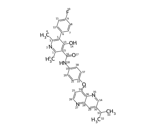 Cc1nc(C)c(-c2ccc(F)cc2)c(O)c1C(=O)Nc1ccc(Oc2ccnc3cc(C(C)C)cnc23)cc1